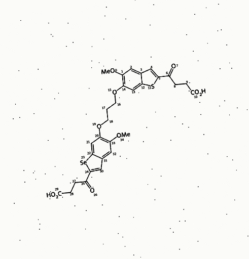 COc1cc2cc(C(=O)CCC(=O)O)sc2cc1OCCCOc1cc2[se]c(C(=O)CCC(=O)O)cc2cc1OC